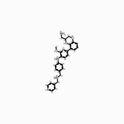 COc1nc(-c2cccc3c2OC(CN)CO3)ccc1Nc1ccc(CNCc2ccncc2)cc1